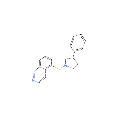 c1ccc(C2CCN(Sc3cccc4cnccc34)C2)cc1